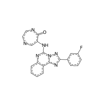 O=c1nccncc1Nc1nc2ccccc2c2nc(-c3cccc(F)c3)nn12